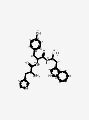 NC(Cc1c[nH]cn1)C(=O)NC(Cc1ccc(O)cc1)C(=O)NC(Cc1c[nH]c2ccccc12)C(=O)O